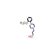 COc1ccccc1N1CCN(CCCO)CC1